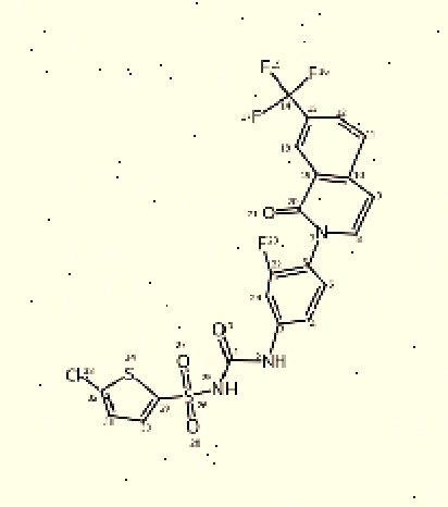 O=C(Nc1ccc(-n2ccc3ccc(C(F)(F)F)cc3c2=O)c(F)c1)NS(=O)(=O)c1ccc(Cl)s1